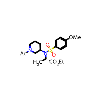 CCOC(=O)[C@H](C)N([C@@H]1CCCN(C(C)=O)C1)S(=O)(=O)c1ccc(OC)cc1